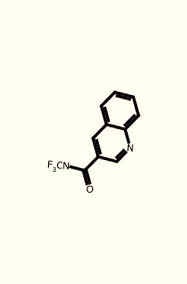 O=C(NC(F)(F)F)c1cnc2ccccc2c1